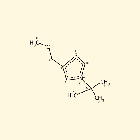 COCc1c[n+](C(C)(C)C)cs1